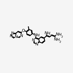 Cc1cc(Nc2ncnc3ccc(/C(N)=C/C=C(N)N)cc23)ccc1Oc1cc2nncn2cn1